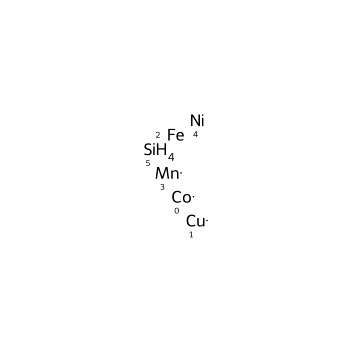 [Co].[Cu].[Fe].[Mn].[Ni].[SiH4]